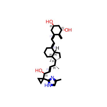 C=C1/C(=C\C=C2/CCC[C@]3(C)[C@@H]([C@H](C)/C=C/[C@H](O)C4(c5nc(C)c[nH]5)CC4)CC[C@@H]23)C[C@@H](O)C[C@@H]1O